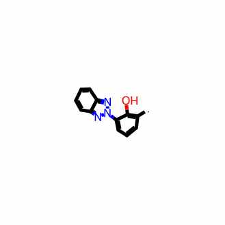 [CH2]c1cccc(-n2nc3ccccc3n2)c1O